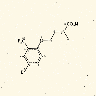 CN(CCOc1ncc(Br)cc1C(F)(F)F)C(=O)O